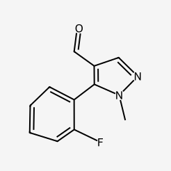 Cn1ncc(C=O)c1-c1ccccc1F